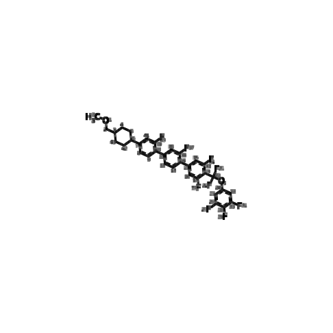 COCC1CCC(c2ccc(-c3ccc(-c4cc(F)c(C(F)(F)Oc5cc(F)c(F)c(F)c5)c(F)c4)c(F)c3)c(F)c2)CC1